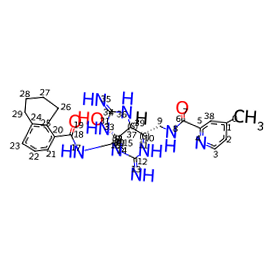 Cc1ccnc(C(=O)NC[C@@H]2NC(=N)N3CC(NC(=O)c4cccc5c4CCCC5)[C@@H](O)[C@@]34NC(=N)N[C@@H]24)c1